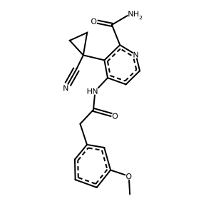 COc1cccc(CC(=O)Nc2ccnc(C(N)=O)c2C2(C#N)CC2)c1